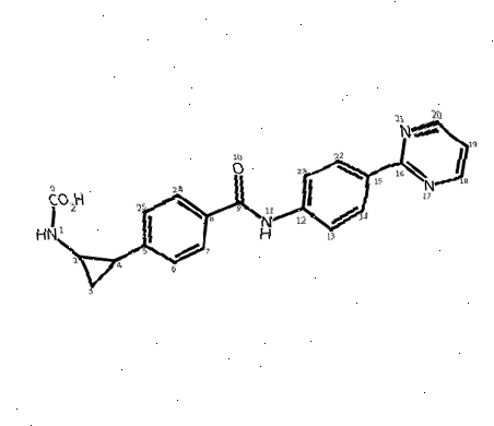 O=C(O)NC1CC1c1ccc(C(=O)Nc2ccc(-c3ncccn3)cc2)cc1